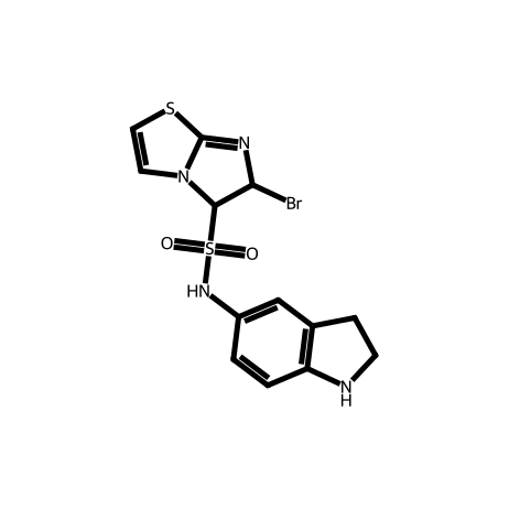 O=S(=O)(Nc1ccc2c(c1)CCN2)C1C(Br)N=C2SC=CN21